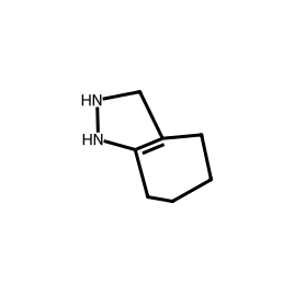 C1CCC2=C(C1)CNN2